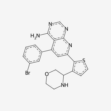 Nc1ncnc2nc(-c3sccc3C3COCCN3)cc(-c3cccc(Br)c3)c12